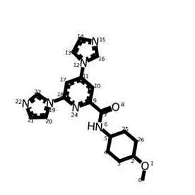 COC1CCC(NC(=O)c2cc(-n3ccnc3)cc(-n3ccnc3)n2)CC1